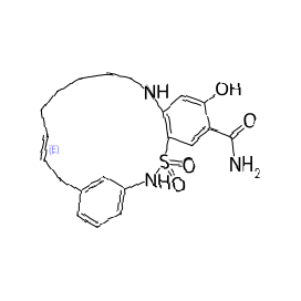 NC(=O)c1cc2c(cc1O)NCCCCC/C=C/Cc1cccc(c1)NS2(=O)=O